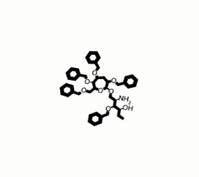 CC[C@@H](O)[C@@H](OCc1ccccc1)[C@@H](N)CO[C@H]1OC(COCc2ccccc2)[C@H](OCc2ccccc2)C(OCc2ccccc2)CC1OCc1ccccc1